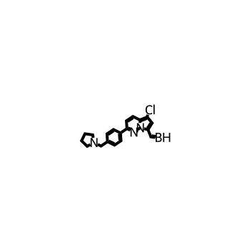 B=Cc1cc(Cl)c2ccc(-c3ccc(CN4CCCC4)cc3)nn12